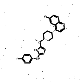 C[C@@H](c1nnc(Nc2ccc(F)cc2)[nH]1)[C@H]1CC[C@@H](c2ccnc3ccc(F)cc32)CC1